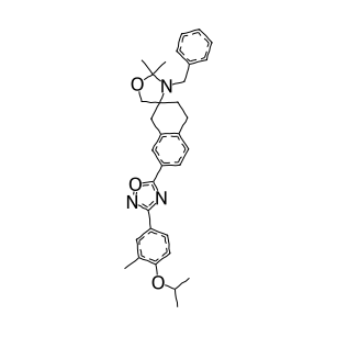 Cc1cc(-c2noc(-c3ccc4c(c3)CC3(CC4)COC(C)(C)N3Cc3ccccc3)n2)ccc1OC(C)C